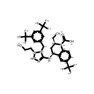 CC[C@@H]1C[C@H](NC2=NNN(CCO)N2Cc2cc(C(F)(F)F)cc(C(F)(F)F)c2)c2cc(C(F)(F)F)ccc2N1C(=O)O